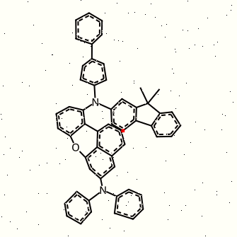 CC1(C)c2ccccc2-c2ccc(N(c3ccc(-c4ccccc4)cc3)c3cccc4c3-c3cccc5cc(N(c6ccccc6)c6ccccc6)cc(c35)O4)cc21